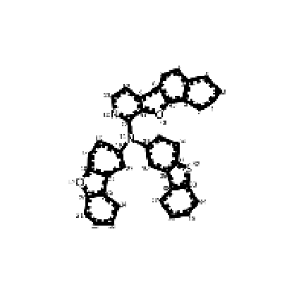 c1ccc2c(c1)ccc1c3ccnc(N(c4ccc5oc6ccccc6c5c4)c4ccc5sc6ccccc6c5c4)c3oc21